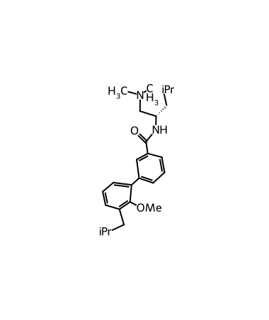 COc1c(CC(C)C)cccc1-c1cccc(C(=O)N[C@@H](CC(C)C)CN(C)C)c1